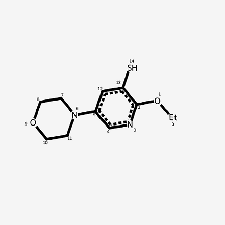 CCOc1ncc(N2CCOCC2)cc1S